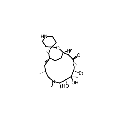 CC[C@H]1OC(=O)[C@H](C)[C@@H]2CC[C@](C)(C[C@@H](C)CN(C)[C@H](C)[C@@H](O)[C@]1(C)O)OC1(CCNCC1)O2